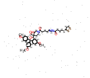 COc1ccc(C(OCC2(CO)CCN(C(=O)CCCCCNC(=O)CCCC[C@@H]3CCSS3)CC2)(c2ccc(OC)cc2)c2ccc(OC)cc2)cc1